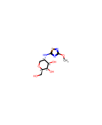 COc1nsc(N[C@H]2CO[C@H](CO)[C@H](O)[C@@H]2O)n1